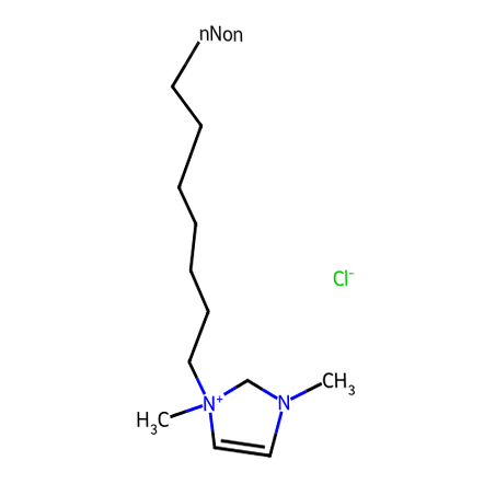 CCCCCCCCCCCCCCCC[N+]1(C)C=CN(C)C1.[Cl-]